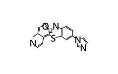 O=[N+]([O-])c1ccc(-n2ccnc2)cc1Sc1cccc2cnccc12